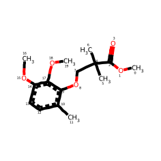 COC(=O)C(C)(C)COc1c(C)ccc(OC)c1OC